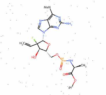 C=C[C@@]1(F)[C@H](O)[C@@H](CO[PH](=O)N[C@@H](C)C(=O)OC(C)C)O[C@H]1n1cnc2c(NC)nc(N)nc21